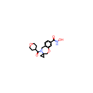 O=C(NO)c1ccc2c(c1)OCC1(CC1)N(C(=O)C1CCOCC1)C2